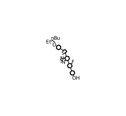 CCCCC(CC)COc1ccc(-c2ccc(-c3ccc(-c4ccc(-c5ccc(O)cc5)cc4F)c4nsnc34)s2)cc1